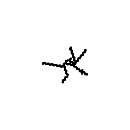 C=CCCCCCCCCCC(=CC(CC)CCCC(C=C(CCCCCCC=C)CCCCCCC=C)(CCCC)CCCCCC(C)(C)CC=C)CCCCCCCCC=C